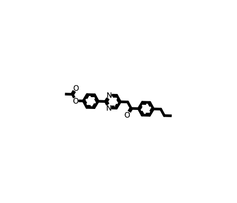 CCCc1ccc(C(=O)Cc2cnc(-c3ccc(OC(C)=O)cc3)nc2)cc1